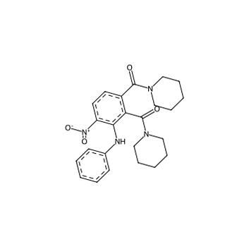 O=C(c1ccc([N+](=O)[O-])c(Nc2ccccc2)c1C(=O)N1CCCCC1)N1CCCCC1